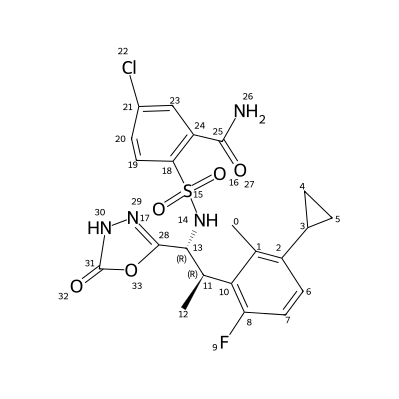 Cc1c(C2CC2)ccc(F)c1[C@@H](C)[C@@H](NS(=O)(=O)c1ccc(Cl)cc1C(N)=O)c1n[nH]c(=O)o1